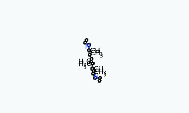 CC1(C)c2cc(-c3ccc4c(c3)C(C)(C)c3cc(-c5cccc(-c6cccc7ccccc67)n5)ccc3-4)ccc2-c2ccc(-c3ccc4c(c3)C(C)(C)c3cc(-c5cccc(-c6cccc7ccccc67)n5)ccc3-4)cc21